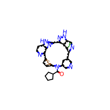 O=C(C1CCCC1)n1c2cncc(c2)c2ncc3[nH]nc(c4nc5c(ccnc5c5ccc1s5)[nH]4)c3c2F